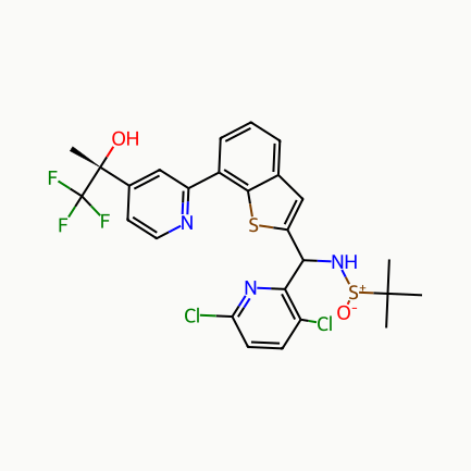 CC(C)(C)[S+]([O-])NC(c1cc2cccc(-c3cc([C@@](C)(O)C(F)(F)F)ccn3)c2s1)c1nc(Cl)ccc1Cl